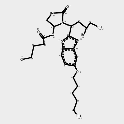 CCCCCCOc1ccc2sc(C(CC(Br)CC)N3C(=O)NCC3OC(=O)CCCCl)nc2c1